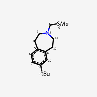 CSCN1CCc2ccc(C(C)(C)C)cc2CC1